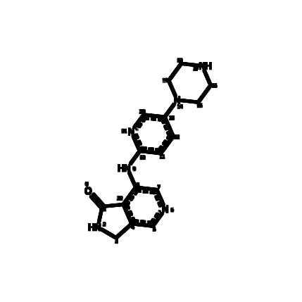 O=C1NCc2cncc(Nc3ccc(N4CCNCC4)cn3)c21